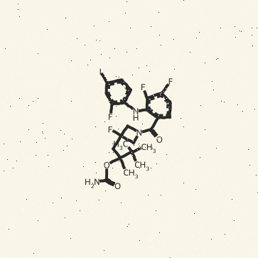 CC(C)(C)C(C)(CC1(F)CN(C(=O)c2ccc(F)c(F)c2Nc2ccc(I)cc2F)C1)OC(N)=O